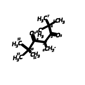 [CH2][C](C(=O)C(C)(C)C)C(=O)C(C)(C)C